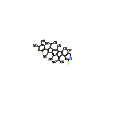 N#CC(C#N)=C1C(c2cc(C#N)c(C#N)cc2F)=C(C#N)c2c(C#N)c3c(c(C#N)c21)C(C#N)=C(c1cc(F)ncc1C#N)C3=C(C#N)C#N